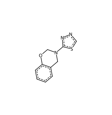 c1ccc2c(c1)CN(c1nncs1)CO2